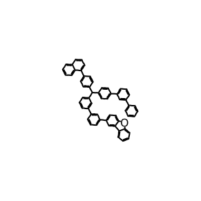 c1ccc(-c2cccc(-c3ccc(C(c4ccc(-c5cccc6ccccc56)cc4)c4cccc(-c5cccc(-c6ccc7oc8ccccc8c7c6)c5)c4)cc3)c2)cc1